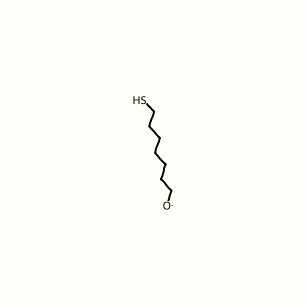 [O]CCCCCCCS